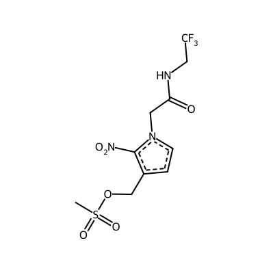 CS(=O)(=O)OCc1ccn(CC(=O)NCC(F)(F)F)c1[N+](=O)[O-]